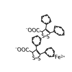 O=C([O-])C1SSC(c2ccccc2)=C1c1ccccc1.O=C([O-])C1SSC(c2ccccc2)=C1c1ccccc1.[Fe+2]